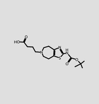 CC(C)(C)OC(=O)Nc1nc2c(s1)CCN(CCCC(=O)O)CC2